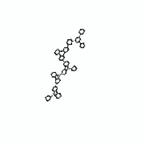 c1ccc(-c2cc(-c3ccccc3)cc(-c3cccc(-c4ccc5c(c4)c4ccccc4c4ccc(-c6ccc7c(c6)c6cc(-n8c9ccccc9c9cc(-c%10ccc%11c(c%10)c%10ccccc%10n%11-c%10ccccc%10)ccc98)ccc6n7-c6ccccc6)cc45)c3)c2)cc1